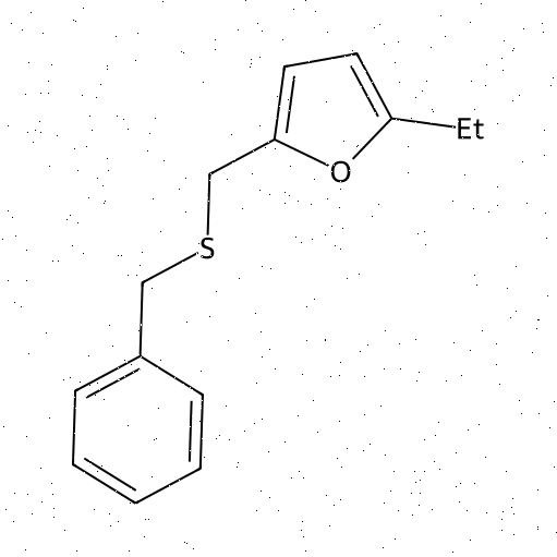 CCc1ccc(CSCc2ccccc2)o1